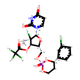 C[C@@]1(F)[C@H](OC(=O)C(F)(F)F)[C@@H](CO[P@@]2(=O)OCC[C@@H](c3cccc(Cl)c3)O2)O[C@H]1n1ccc(=O)[nH]c1=O